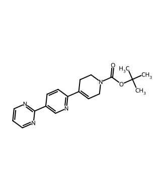 CC(C)(C)OC(=O)N1CC=C(c2ccc(-c3ncccn3)cn2)CC1